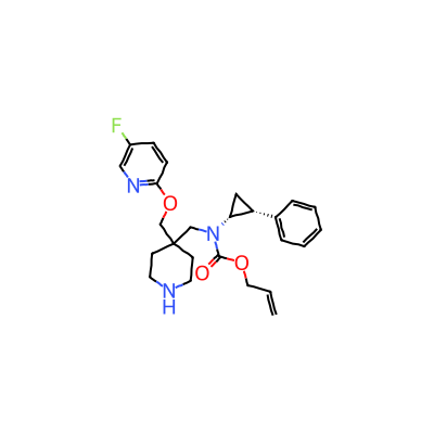 C=CCOC(=O)N(CC1(COc2ccc(F)cn2)CCNCC1)[C@@H]1C[C@@H]1c1ccccc1